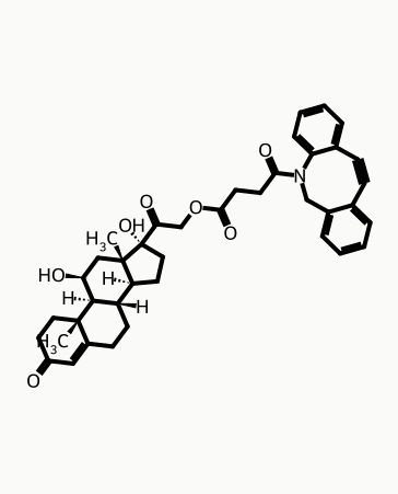 C[C@]12CCC(=O)C=C1CC[C@@H]1[C@@H]2[C@@H](O)C[C@@]2(C)[C@H]1CC[C@]2(O)C(=O)COC(=O)CCC(=O)N1Cc2ccccc2C#Cc2ccccc21